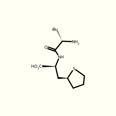 CCC(C)[C@H](N)C(=O)N[C@@H](C[C@@H]1CCCS1)C(=O)O